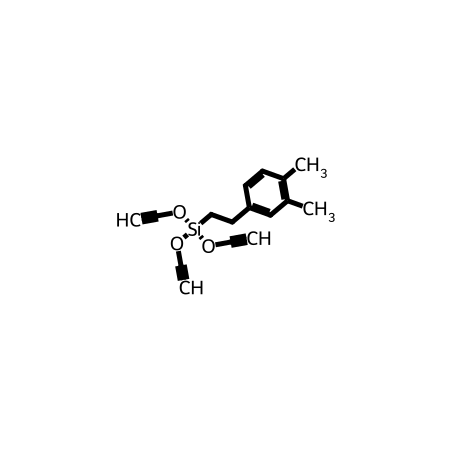 C#CO[Si](CCc1ccc(C)c(C)c1)(OC#C)OC#C